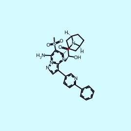 C[C@H](O)C(=O)N1[C@@H]2CC[C@H]1C[C@H](c1nc3c(-c4ccc(-c5ccccc5)nc4)cnn3c(N)c1S(C)(=O)=O)C2